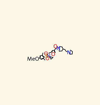 COc1cc(C)c(S(=O)(=O)N(Cc2cc(C(=O)N3CCC(CCN4CCCC4)CC3)co2)C2CC2)c(C)c1